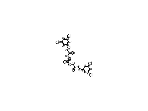 O=C(COc1cc(Cl)cc(Cl)c1)CO[PH](=O)OCC(=O)COc1cc(Cl)cc(Cl)c1